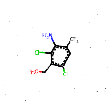 Nc1c(C(F)(F)F)cc(Cl)c(CO)c1Cl